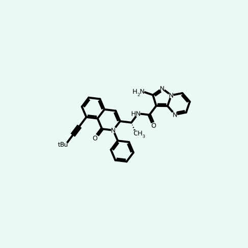 C[C@@H](NC(=O)c1c(N)nn2cccnc12)c1cc2cccc(C#CC(C)(C)C)c2c(=O)n1-c1ccccc1